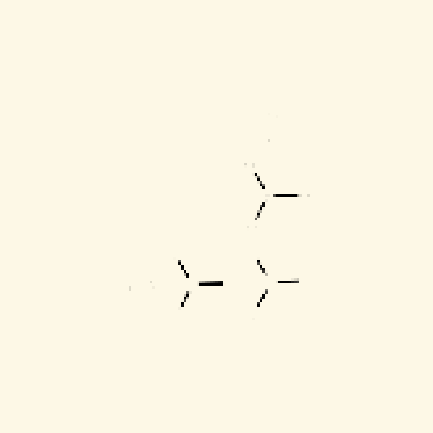 [Al+3].[Ba+2].[Ba+2].[Ba+2].[O-]B([O-])[O-].[O-]B([O-])[O-].[O-]B([O-])[O-]